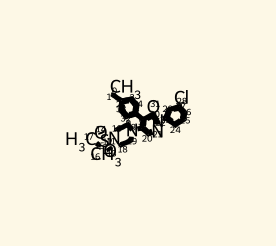 CCc1ccc(-c2c(N3CCN(S(=O)(=O)C(C)C)CC3)cnn(-c3cccc(Cl)c3)c2=O)cc1